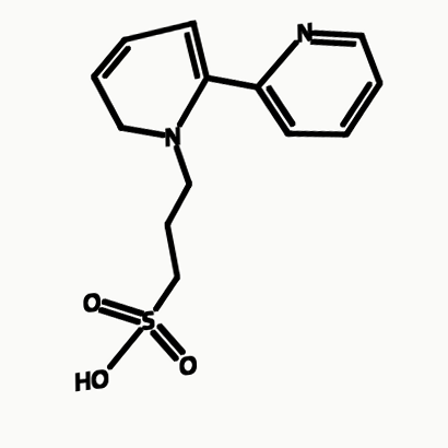 O=S(=O)(O)CCCN1CC=CC=C1c1ccccn1